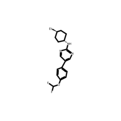 CC[C@H]1CC[C@H](Nc2ncc(-c3ccc(OC(F)F)cc3)cn2)CC1